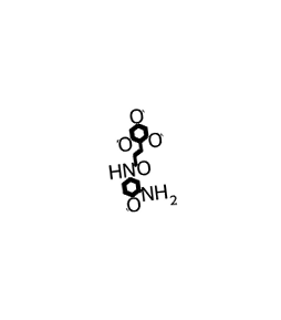 COc1cc(OC)c(C=CC(=O)Nc2ccc(OC)c(N)c2)c(OC)c1